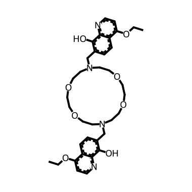 CCOc1ccnc2c(O)c(CN3CCOCCOCCN(Cc4ccc5c(OCC)ccnc5c4O)CCOCCOCC3)ccc12